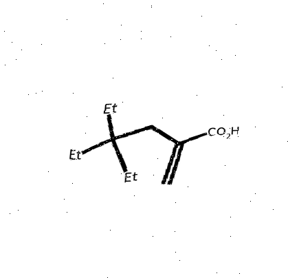 C=C(CC(CC)(CC)CC)C(=O)O